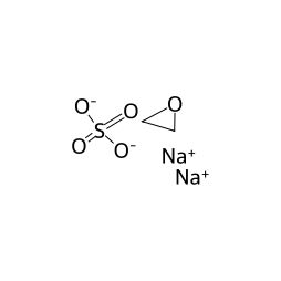 C1CO1.O=S(=O)([O-])[O-].[Na+].[Na+]